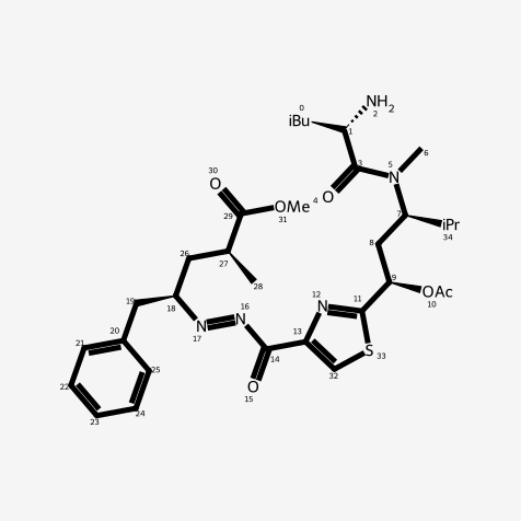 CC[C@H](C)[C@H](N)C(=O)N(C)[C@H](C[C@@H](OC(C)=O)c1nc(C(=O)N=N[C@@H](Cc2ccccc2)C[C@H](C)C(=O)OC)cs1)C(C)C